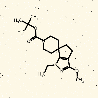 CCn1nc(OC)c2c1C1(CC2)CCN(C(=O)OC(C)(C)C)CC1